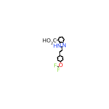 O=C(O)c1cccc2nc(C=Cc3ccc(OC(F)F)cc3)[nH]c12